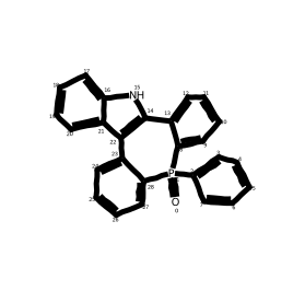 O=P1(c2ccccc2)c2ccccc2-c2[nH]c3ccccc3c2-c2ccccc21